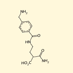 NCc1ccc(C(=O)NCCC(C(N)=O)C(=O)O)cc1